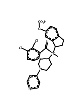 C[N+](C(=O)c1cccc(Cl)c1Cl)(C1CCN(c2ccncc2)CC1)C1CCc2ccc(OC(=O)O)cc21